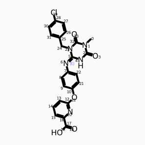 Cn1c(=O)[nH]/c(=N\c2ccc(Oc3cccc(C(=O)O)n3)cc2)n(Cc2ccc(Cl)cc2)c1=O